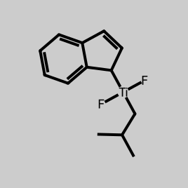 CC(C)[CH2][Ti]([F])([F])[CH]1C=Cc2ccccc21